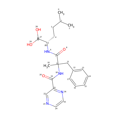 CC(C)CC[C@H](NC(=O)C(C)(Cc1ccccc1)NC(=O)c1cnccn1)B(O)O